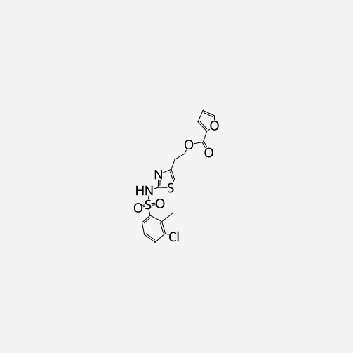 Cc1c(Cl)cccc1S(=O)(=O)Nc1nc(CCOC(=O)c2ccco2)cs1